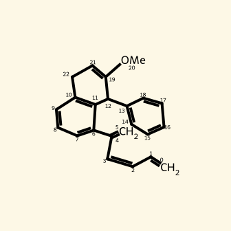 C=C/C=C\C(=C)c1cccc2c1C(c1ccccc1)C(OC)=CC2